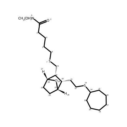 CN(O)C(=O)CCCCSC[C@@H]1[C@H](CCSC2CCCCCC2)[C@@H]2CC[C@H]1O2